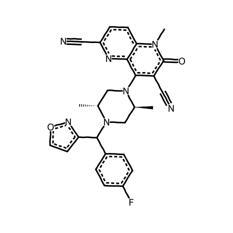 C[C@@H]1CN(c2c(C#N)c(=O)n(C)c3ccc(C#N)nc23)[C@@H](C)CN1C(c1ccc(F)cc1)c1ccon1